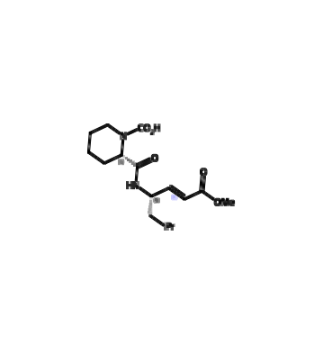 COC(=O)/C=C/[C@H](CC(C)C)NC(=O)[C@@H]1CCCCN1C(=O)O